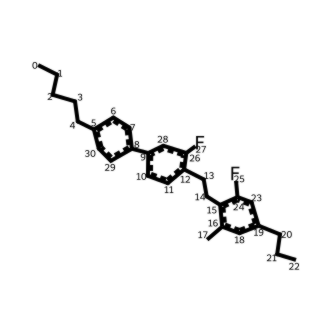 CCCCCc1ccc(-c2ccc(CCc3c(C)cc(CCC)cc3F)c(F)c2)cc1